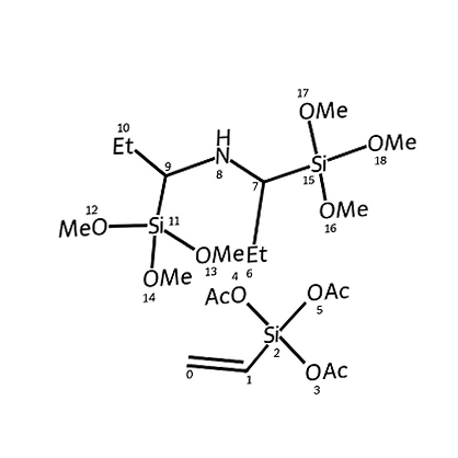 C=C[Si](OC(C)=O)(OC(C)=O)OC(C)=O.CCC(NC(CC)[Si](OC)(OC)OC)[Si](OC)(OC)OC